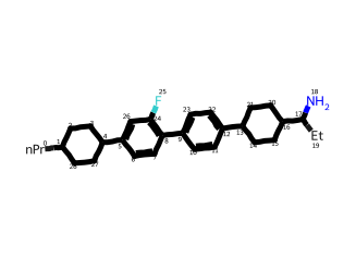 CCCC1CCC(c2ccc(-c3ccc(C4CCC(C(N)CC)CC4)cc3)c(F)c2)CC1